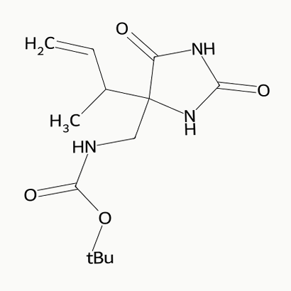 C=CC(C)C1(CNC(=O)OC(C)(C)C)NC(=O)NC1=O